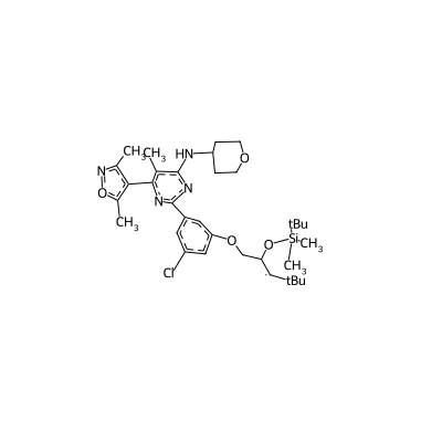 Cc1noc(C)c1-c1nc(-c2cc(Cl)cc(OCC([CH]C(C)(C)C)O[Si](C)(C)C(C)(C)C)c2)nc(NC2CCOCC2)c1C